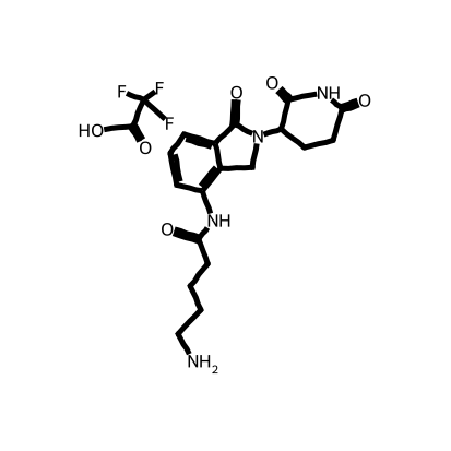 NCCCCC(=O)Nc1cccc2c1CN(C1CCC(=O)NC1=O)C2=O.O=C(O)C(F)(F)F